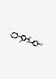 O=C(Nc1cnc(Cl)nc1)c1ccc(N2CCOCC2)c(F)c1